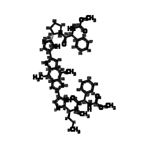 CCC[C@@H](c1ncc(-c2cc3c(C)c4sc(-c5cnc([C@@H]6CCCN6C(=O)C(NC(=O)OC)c6ccccc6)[nH]5)cc4c(C)c3s2)[nH]1)N(C)C(=O)C(NC(=O)OC)c1ccccc1